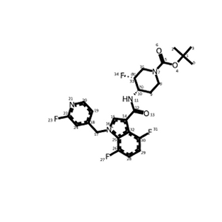 CC(C)(C)OC(=O)N1CC[C@H](NC(=O)c2cn(Cc3ccnc(F)c3)c3c(F)ccc(F)c23)[C@H](F)C1